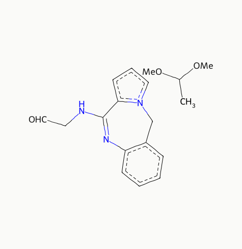 COC(C)OC.O=CCNC1=Nc2ccccc2Cn2cccc21